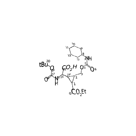 CCOC(=O)C1C(COC(=O)NC2CCCCC2)C1C(NC(=O)OC(C)(C)C)C(=O)O